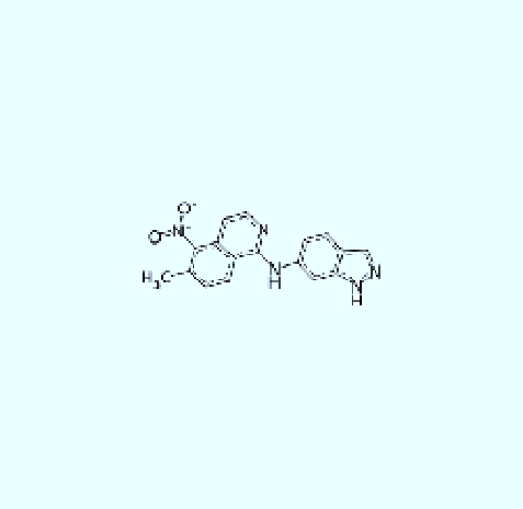 Cc1ccc2c(Nc3ccc4cn[nH]c4c3)nccc2c1[N+](=O)[O-]